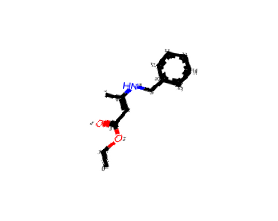 CCOC(=O)C=C(C)NCc1ccccc1